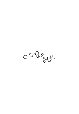 O=C(NCC(=O)N1CCC2C1CCCN2[C@H]1CC[C@@H](C2C=CC=CC2)CC1)c1cccc(C(F)(F)F)c1